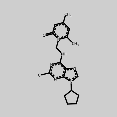 Cc1cc(C)n(CNc2nc(Cl)nc3c2ncn3C2CCCC2)c(=O)c1